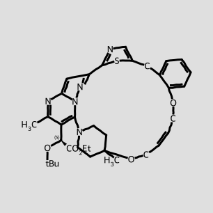 CCOC(=O)[C@@H](OC(C)(C)C)c1c(C)nc2cc3nn2c1N1CCC(C)(CC1)OCC=CCOc1ccccc1Cc1cnc-3s1